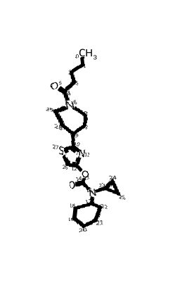 CCCCC(=O)N1CCC(c2nc(OC(=O)N(C3CCCCC3)C3CC3)cs2)CC1